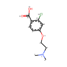 CN(C)CCOc1ccc(C(=O)O)c(Cl)c1